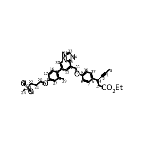 CC#C[C@@H](CC(=O)OCC)c1ccc(OCc2cc(-c3ccc(OCCCS(C)(=O)=O)cc3C)cn3ncnc23)cc1